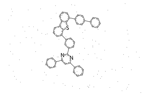 c1ccc(-c2ccc(-c3cccc4c3sc3c(-c5cccc(-c6nc(-c7ccccc7)cc(-c7ccccc7)n6)c5)cccc34)cc2)cc1